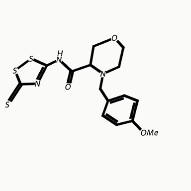 COc1ccc(CN2CCOCC2C(=O)Nc2nc(=S)ss2)cc1